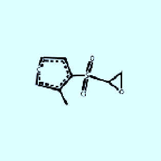 Cc1ccccc1S(=O)(=O)C1CO1